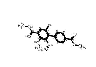 COC(=O)c1ccc(-c2c(I)cc(C(=O)OC)c(OC)c2N=O)cc1